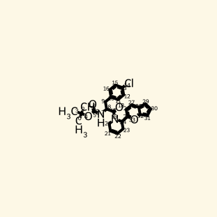 CC(C)(C)OC(=O)NC(Cc1ccc(Cl)cc1)C(=O)N1CC=CCC1c1ccc2cccc-2o1